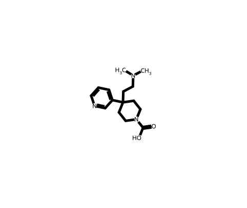 CN(C)CCC1(c2cccnc2)CCN(C(=O)O)CC1